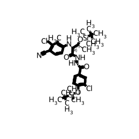 Cc1c(N[C@@H](C(=O)NNC(=O)c2ccc(O[Si](C)(C)C(C)(C)C)c(Cl)c2)[C@@H](C)O[Si](C)(C)C(C)(C)C)ccc(C#N)c1Cl